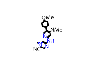 CNc1cc(NC2=CN(C)C(C#N)C=N2)ncc1-c1ccc(OC)cc1